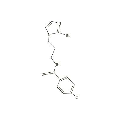 CCc1nccn1CCCNC(=O)c1ccc(Cl)cc1